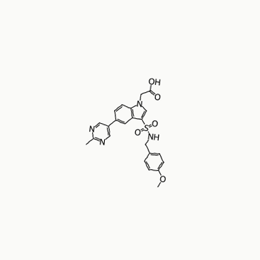 COc1ccc(CNS(=O)(=O)c2cn(CC(=O)O)c3ccc(-c4cnc(C)nc4)cc23)cc1